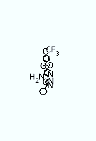 Nc1cc(S(=O)(=O)c2ccc(OC(F)(F)F)cc2)cnc1-c1nnc(C2CCCCC2)o1